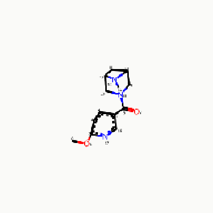 COc1ccc(C(=O)N2CC3CC(C2)N3C)cn1